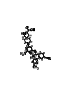 Cc1ccn(-c2cc(C#N)ccc2C(Oc2cc(N3CCC4(CC3)CNC(C(=O)O)C4)nc(N)n2)C(F)(F)F)n1